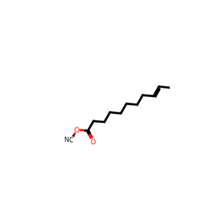 CC=CCCCCCCCC(=O)OC#N